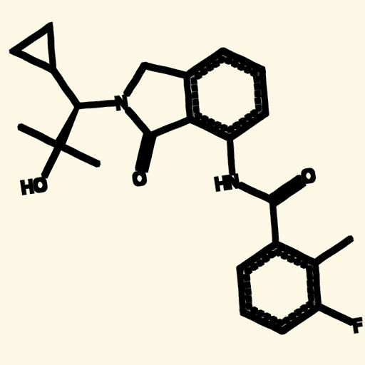 Cc1c(F)cccc1C(=O)Nc1cccc2c1C(=O)N([C@H](C1CC1)C(C)(C)O)C2